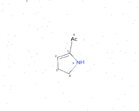 CC(=O)C1=CCCN1